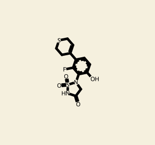 O=C1CN(c2c(O)ccc(C3=CCSCC3)c2F)S(=O)(=O)N1